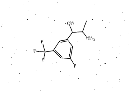 CC(N)C(O)c1cc(F)cc(C(F)(F)F)c1